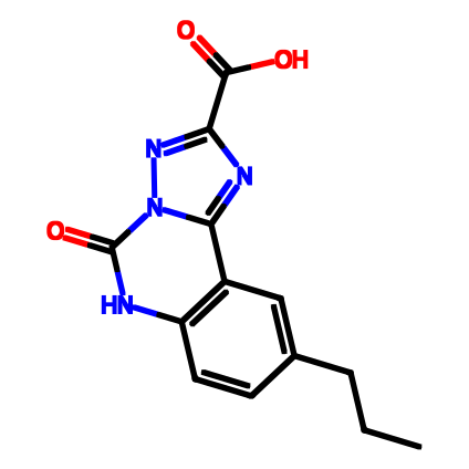 CCCc1ccc2[nH]c(=O)n3nc(C(=O)O)nc3c2c1